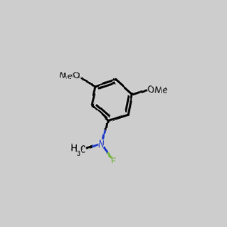 COc1cc(OC)cc(N(C)F)c1